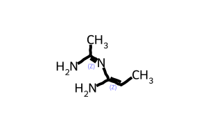 C/C=C(N)\N=C(\C)N